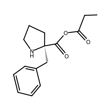 CCC(=O)OC(=O)[C@]1(Cc2ccccc2)CCCN1